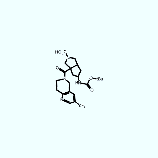 CC(C)(C)OC(=O)NC1CC2CN(C(=O)O)CC2(C(=O)N2CCc3ncc(C(F)(F)F)cc3C2)C1